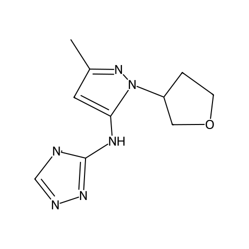 Cc1cc(NC2=NN=C[N]2)n(C2CCOC2)n1